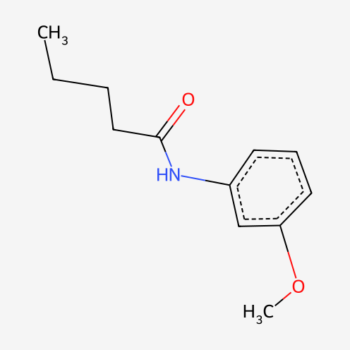 CCCCC(=O)Nc1cccc(OC)c1